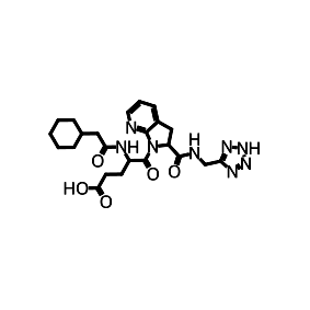 O=C(O)CCC(NC(=O)CC1CCCCC1)C(=O)N1c2ncccc2CC1C(=O)NCc1nn[nH]n1